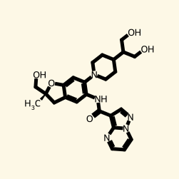 C[C@]1(CO)Cc2cc(NC(=O)c3cnn4cccnc34)c(N3CCC(C(CO)CO)CC3)cc2O1